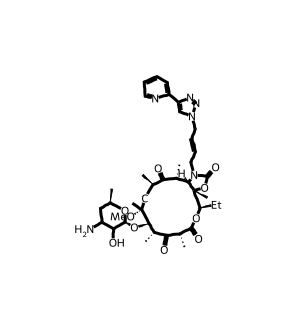 CC[C@H]1OC(=O)[C@H](C)C(=O)[C@H](C)[C@@H](O[C@@H]2O[C@H](C)CC(N)C2O)[C@](C)(OC)C[C@@H](C)C(=O)[C@H](C)[C@H]2N(C/C=C/Cn3cc(-c4ccccn4)nn3)C(=O)O[C@]12C